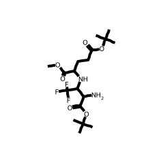 COC(=O)C(CCC(=O)OC(C)(C)C)NC(C(N)C(=O)OC(C)(C)C)C(F)(F)F